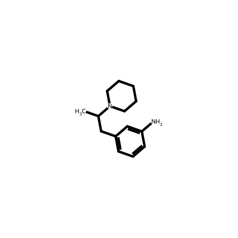 CC(Cc1cccc(N)c1)N1CCCCC1